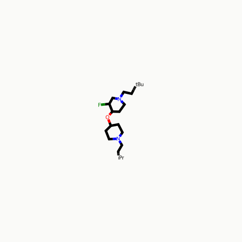 CC(C)CCN1CCC(OC2CCN(CCC(C)(C)C)CC2F)CC1